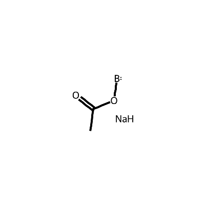 [B]OC(C)=O.[NaH]